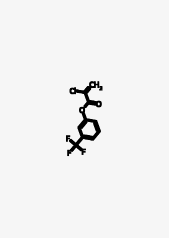 C=C(Cl)C(=O)Oc1cccc(C(F)(F)F)c1